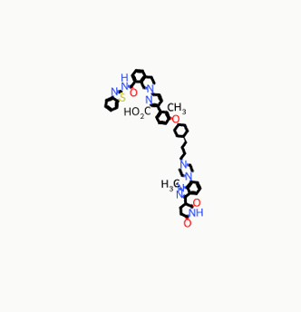 Cc1c(O[C@H]2CC[C@H](CCCCN3CCN(c4cccc5c(C6CCC(=O)NC6=O)nn(C)c45)CC3)CC2)cccc1-c1ccc(N2CCc3cccc(C(=O)Nc4nc5ccccc5s4)c3C2)nc1C(=O)O